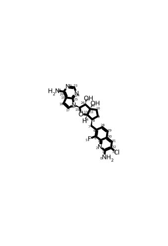 Nc1nc2c(F)c(C[C@@H]3CC[C@@]4(O)[C@@H]3O[C@@H](n3ccc5c(N)ncnc53)[C@@H]4O)ccc2cc1Cl